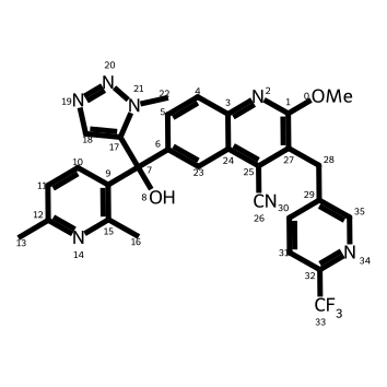 COc1nc2ccc(C(O)(c3ccc(C)nc3C)c3cnnn3C)cc2c(C#N)c1Cc1ccc(C(F)(F)F)nc1